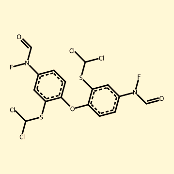 O=CN(F)c1ccc(Oc2ccc(N(F)C=O)cc2SC(Cl)Cl)c(SC(Cl)Cl)c1